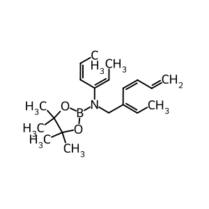 C=C/C=C\C(=C/C)CN(B1OC(C)(C)C(C)(C)O1)C(/C=C\C)=C/C